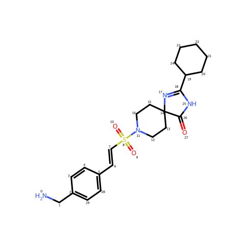 NCc1ccc(C=CS(=O)(=O)N2CCC3(CC2)N=C(C2CCCCC2)NC3=O)cc1